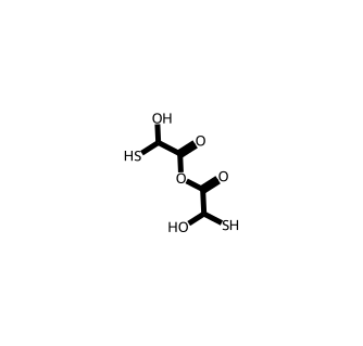 O=C(OC(=O)C(O)S)C(O)S